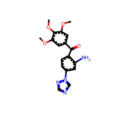 COc1cc(C(=O)c2ccc(-n3cncn3)cc2N)cc(OC)c1OC